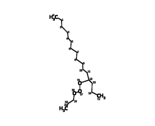 CCCCCCCCCCCCC(CCC)OOOCCC